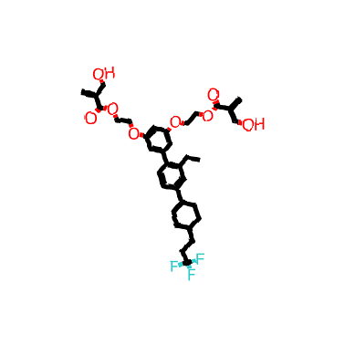 C=C(CO)C(=O)OCCOc1cc(OCCOC(=O)C(=C)CO)cc(-c2ccc(C3CCC(CCC(F)(F)F)CC3)cc2CC)c1